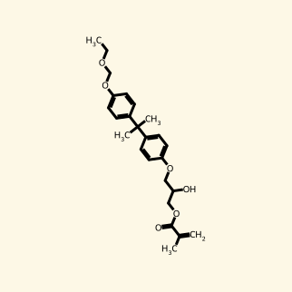 C=C(C)C(=O)OCC(O)COc1ccc(C(C)(C)c2ccc(OCOCC)cc2)cc1